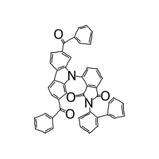 O=C(c1ccccc1)c1ccc2c3ccc(C(=O)c4ccccc4)cc3n(-c3cccc4c3C(=O)N(c3ccccc3-c3ccccc3)C4=O)c2c1